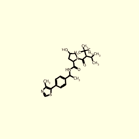 Cc1ncsc1-c1ccc(C(C)NC(=O)C2CC(O)CN2C(=O)C(C(C)C)C(C)(C)C)cc1